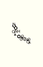 CC(C)(C)OC(=O)N1CCN(S(=O)(=O)c2ccc([C@@H]3C[C@H]3C(=O)Nc3ccc4cnccc4c3)cc2)CC1